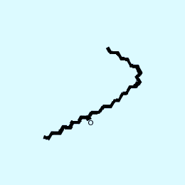 CCCCCC/C=C\C/C=C\CCCCCCCCCC(=O)CCCCCCCCC